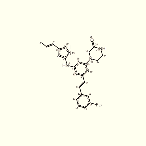 C/C=C/c1cc(Nc2nc(/C=C/c3cccc(F)c3)nc(N3CCNC(=O)C3)n2)n[nH]1